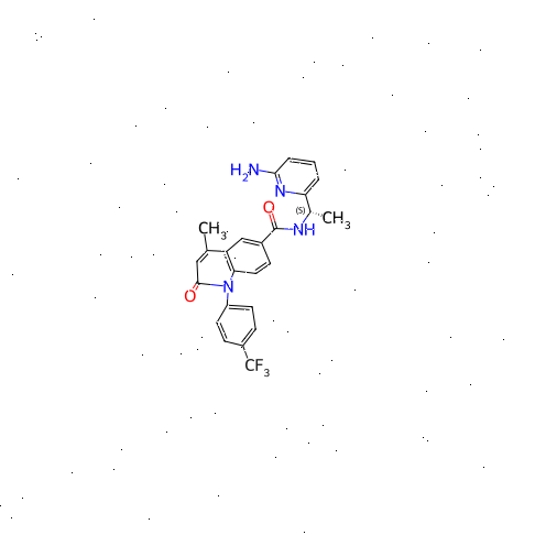 Cc1cc(=O)n(-c2ccc(C(F)(F)F)cc2)c2ccc(C(=O)N[C@@H](C)c3cccc(N)n3)cc12